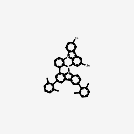 Cc1cccc(C)c1-c1ccc2c(c1)c1cc(-c3c(C)cccc3C)cc3c1n2B1c2c-3cccc2-n2c3ccc(C(C)(C)C)cc3c3cc(C(C)(C)C)cc1c32